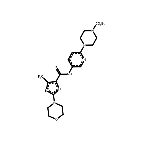 CCOC(=O)N1CCN(c2ccc(NC(=O)c3oc(N4CCOCC4)nc3C(F)(F)F)cn2)CC1